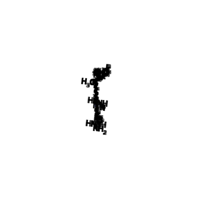 CN(CCCCCCCN/C(=N/CCSCc1csc(NC(=N)N)n1)NC#N)CCN(Cc1ccc(F)cc1)c1ccccn1